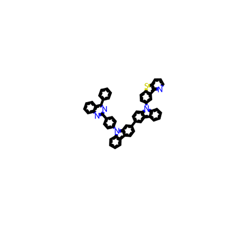 c1ccc(-c2nc(-c3ccc(-n4c5ccccc5c5ccc(-c6ccc7c(c6)c6ccccc6n7-c6ccc7sc8cccnc8c7c6)cc54)cc3)nc3ccccc23)cc1